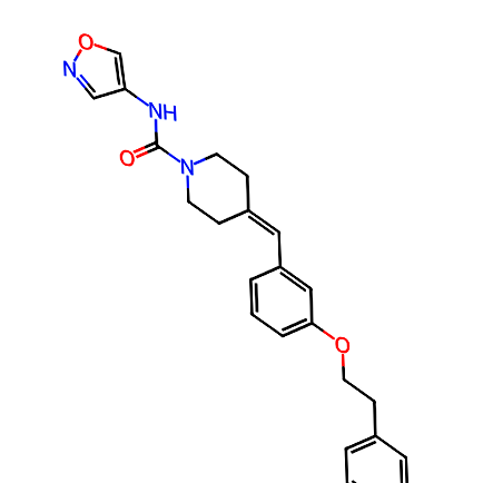 O=C(Nc1cnoc1)N1CCC(=Cc2cccc(OCCc3cccc(F)c3)c2)CC1